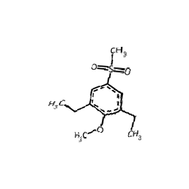 CCc1cc(S(C)(=O)=O)cc(CC)c1OC